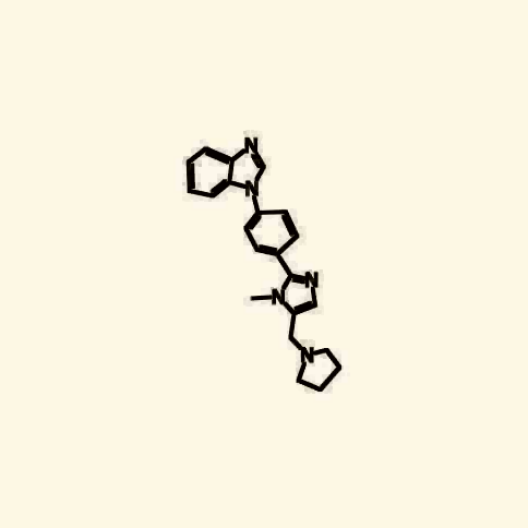 Cn1c(CN2CCCC2)cnc1-c1ccc(-n2cnc3ccccc32)cc1